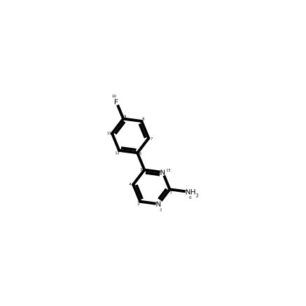 Nc1n[c]cc(-c2ccc(F)cc2)n1